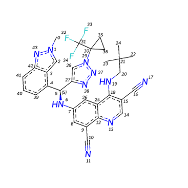 Cn1cc2c([C@H](Nc3cc(C#N)c4ncc(C#N)c(NCC(C)(C)C)c4c3)c3cn(C4(C(F)(F)F)CC4)nn3)cccc2n1